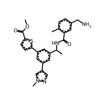 COC(=O)c1ccc(-c2cc(-c3cnn(C)c3)cc(C(C)NC(=O)c3cc(CN)ccc3C)c2)s1